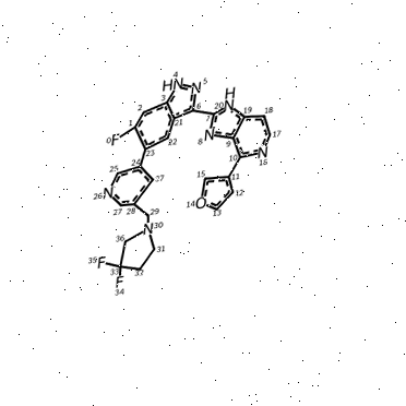 Fc1cc2[nH]nc(-c3nc4c(-c5ccoc5)nccc4[nH]3)c2cc1-c1cncc(CN2CCC(F)(F)C2)c1